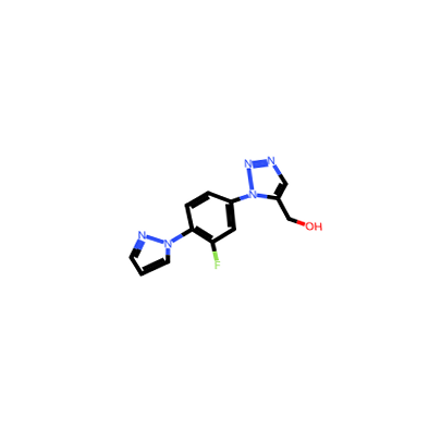 OCc1cnnn1-c1ccc(-n2cccn2)c(F)c1